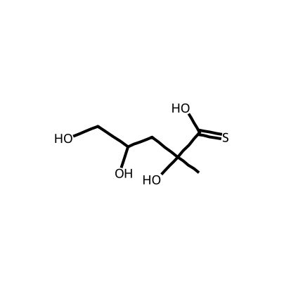 CC(O)(CC(O)CO)C(O)=S